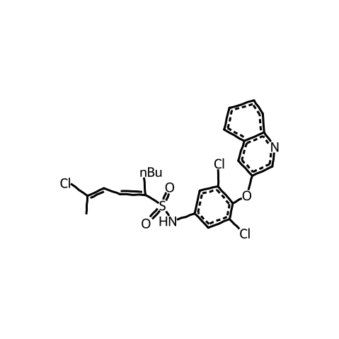 CCCC/C(=C\C=C(/C)Cl)S(=O)(=O)Nc1cc(Cl)c(Oc2cnc3ccccc3c2)c(Cl)c1